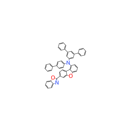 c1ccc(-c2ccc(N(c3cc(-c4ccccc4)cc(-c4ccccc4)c3)c3cccc4oc5cc(-c6nc7ccccc7o6)ccc5c34)cc2)cc1